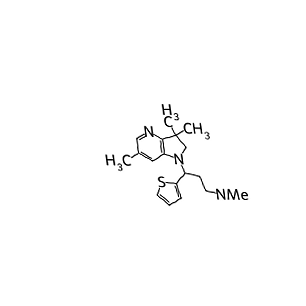 CNCCC(c1cccs1)N1CC(C)(C)c2ncc(C)cc21